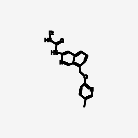 CCNC(=O)Nc1cc2cccc(COc3ccc(C)cn3)c2cn1